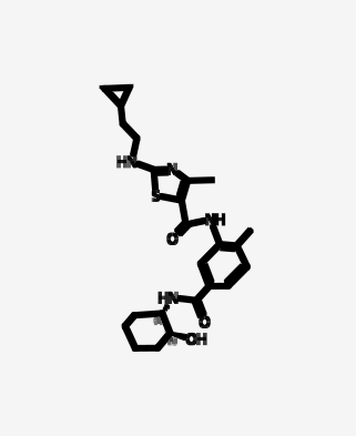 Cc1ccc(C(=O)N[C@H]2CCCC[C@@H]2O)cc1NC(=O)c1sc(NCCC2CC2)nc1C